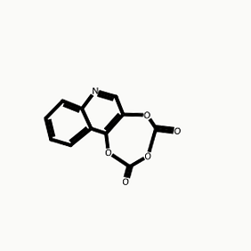 O=C1OC(=O)Oc2c(cnc3ccccc23)O1